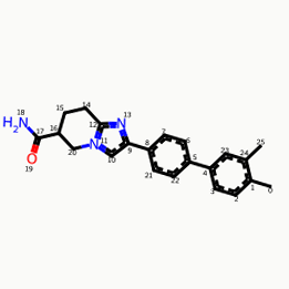 Cc1ccc(-c2ccc(-c3cn4c(n3)CCC(C(N)=O)C4)cc2)cc1C